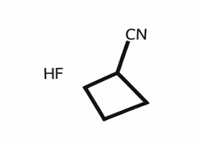 F.N#CC1CCC1